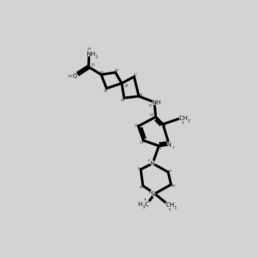 Cc1nc(N2CC[Si](C)(C)CC2)ccc1NC1CC2(C1)CC(C(N)=O)C2